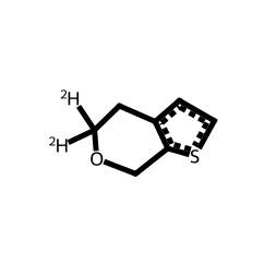 [2H]C1([2H])Cc2ccsc2CO1